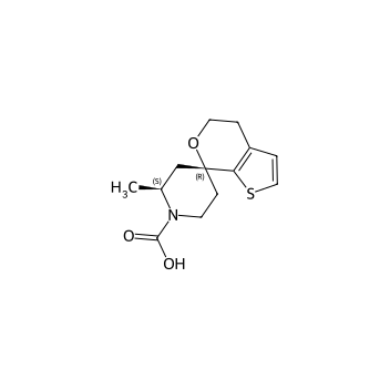 C[C@H]1C[C@@]2(CCN1C(=O)O)OCCc1ccsc12